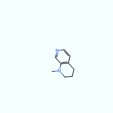 CN1CCCc2ccncc21